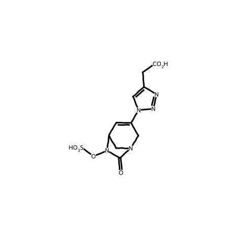 O=C(O)Cc1cn(C2=CC3CN(C2)C(=O)N3OS(=O)(=O)O)nn1